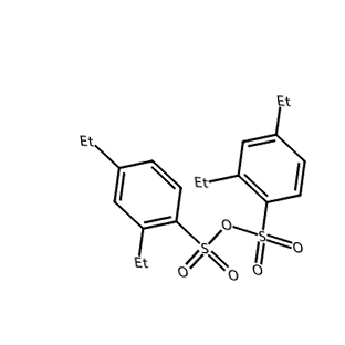 CCc1ccc(S(=O)(=O)OS(=O)(=O)c2ccc(CC)cc2CC)c(CC)c1